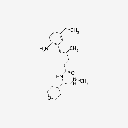 C=C(CCC(=O)NC(CNC)C1CCOCC1)Sc1cc(CC)ccc1N